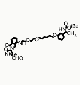 CNC(=O)C(CCC=O)N1Cc2c(NCCOCCOCCCCCCOc3cccc(C(C)NC(=O)OC(C)(C)C)c3)cccc2C1=O